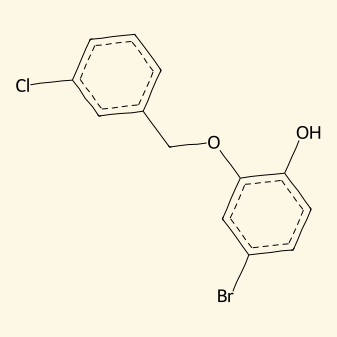 Oc1ccc(Br)cc1OCc1cccc(Cl)c1